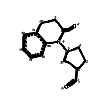 O=[C]C1CCN(N2C(=O)CCc3ccccc32)C1